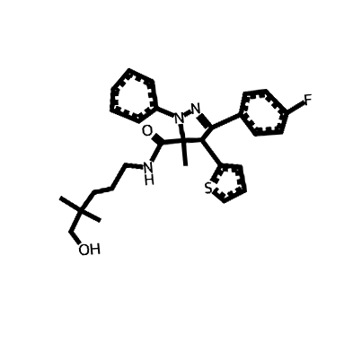 CC(C)(CO)CCCNC(=O)C1(C)C(c2cccs2)C(c2ccc(F)cc2)=NN1c1ccccc1